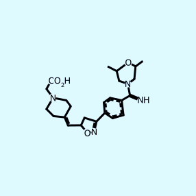 CC1CN(C(=N)c2ccc(C3=NOC(C=C4CCN(CC(=O)O)CC4)C3)cc2)CC(C)O1